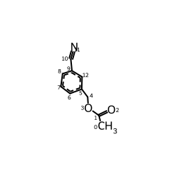 CC(=O)OCc1cccc(C#N)c1